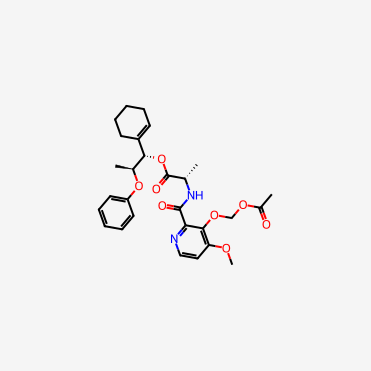 COc1ccnc(C(=O)N[C@@H](C)C(=O)O[C@@H](C2=CCCCC2)[C@H](C)Oc2ccccc2)c1OCOC(C)=O